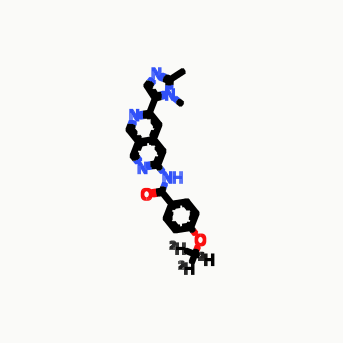 [2H]C([2H])([2H])Oc1ccc(C(=O)Nc2cc3cc(-c4cnc(C)n4C)ncc3cn2)cc1